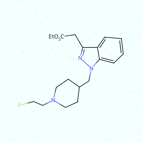 CCOC(=O)Cc1nn(CC2CCN(CCF)CC2)c2ccccc12